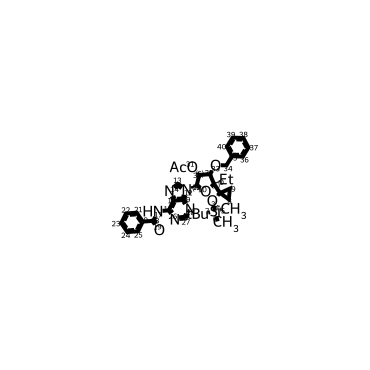 CC[C@]1(C2(O[Si](C)(C)C(C)(C)C)CC2)O[C@@H](n2cnc3c(NC(=O)c4ccccc4)ncnc32)[C@@H](OC(C)=O)C1OCc1ccccc1